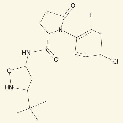 CC(C)(C)C1CC(NC(=O)[C@@H]2CCC(=O)N2C2=C(F)CC(Cl)C=C2)ON1